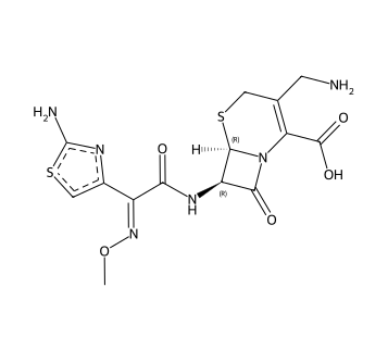 CON=C(C(=O)N[C@@H]1C(=O)N2C(C(=O)O)=C(CN)CS[C@H]12)c1csc(N)n1